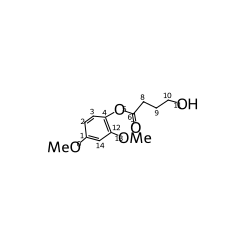 COc1ccc(OC(=O)CCCO)c(OC)c1